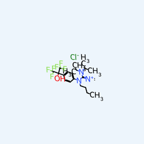 CCCCN(C(=[N+])N(C(C)C)C(C)C)c1ccc(C(O)(C(F)(F)F)C(F)(F)F)cc1.[Cl-]